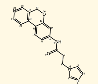 O=C(CCn1ccnc1)Nc1ccc2c(c1)OCc1cnccc1-2